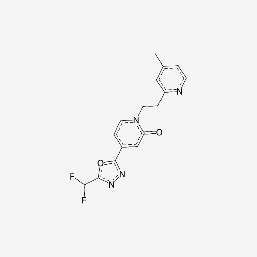 Cc1ccnc(CCn2ccc(-c3nnc(C(F)F)o3)cc2=O)c1